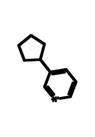 C1=C[N+]=CC(C2CCCC2)=C1